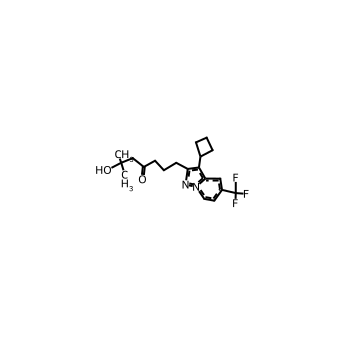 CC(C)(O)CC(=O)CCCc1nn2ccc(C(F)(F)F)cc2c1C1CCC1